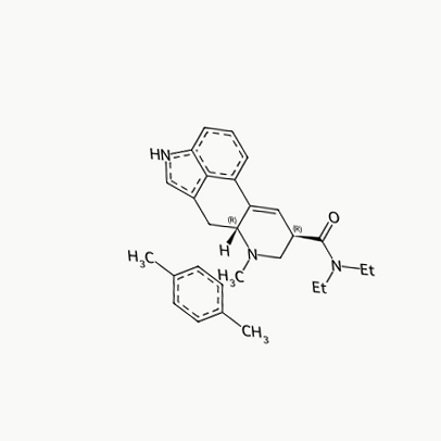 CCN(CC)C(=O)[C@@H]1C=C2c3cccc4[nH]cc(c34)C[C@H]2N(C)C1.Cc1ccc(C)cc1